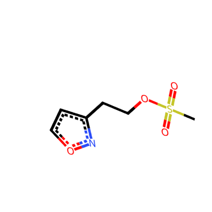 CS(=O)(=O)OCCc1ccon1